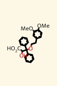 COc1ccc(CCOC(c2ccccc2)(c2ccccc2)C(O)C(=O)O)cc1OC